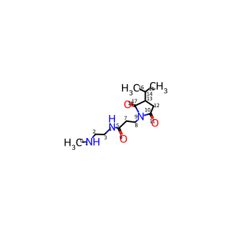 CNCCNC(=O)CCN1C(=O)CC(C(C)C)C1=O